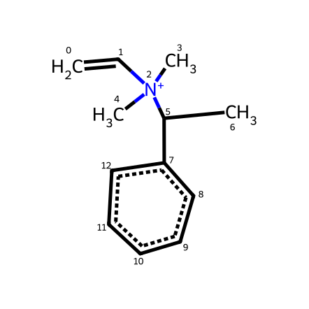 C=C[N+](C)(C)C(C)c1ccccc1